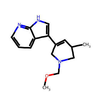 COCN1CC(c2c[nH]c3ncccc23)=CC(C)C1